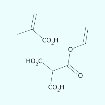 C=C(C)C(=O)O.C=COC(=O)C(C(=O)O)C(=O)O